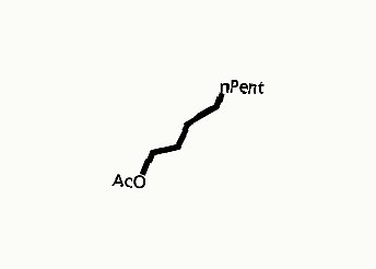 [CH2]C(=O)OCCCCCCCCC